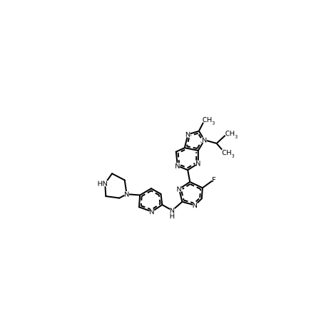 Cc1nc2cnc(-c3nc(Nc4ccc(N5CCNCC5)cn4)ncc3F)nc2n1C(C)C